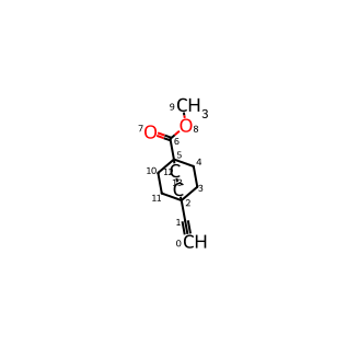 C#CC12CCC(C(=O)OC)(CC1)CC2